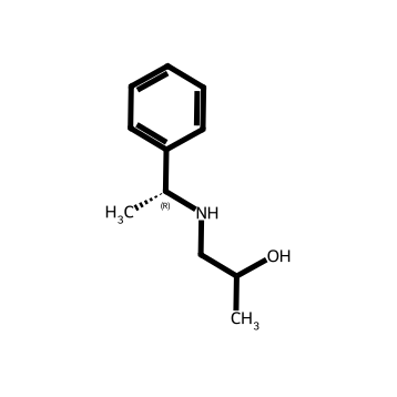 CC(O)CN[C@H](C)c1ccccc1